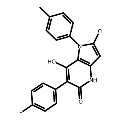 Cc1ccc(-n2c(Cl)cc3[nH]c(=O)c(-c4ccc(F)cc4)c(O)c32)cc1